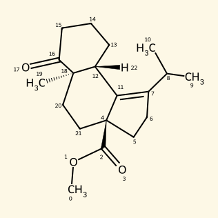 COC(=O)[C@]12CCC(C(C)C)=C1[C@H]1CCCC(=O)[C@]1(C)CC2